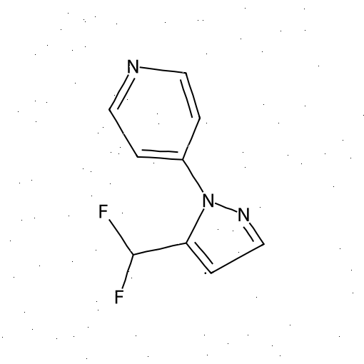 FC(F)c1[c]cnn1-c1ccncc1